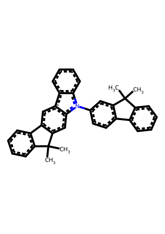 CC1(C)c2ccccc2-c2ccc(-n3c4ccccc4c4cc5c(cc43)C(C)(C)c3ccccc3-5)cc21